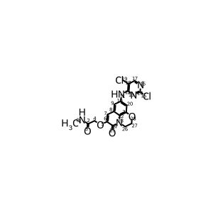 CNC(=O)COc1cc2cc(Nc3nc(Cl)ncc3Cl)cc3c2n(c1=O)CCO3